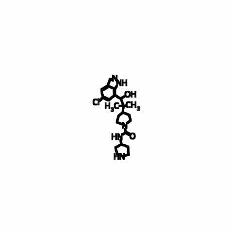 CC(C)(C1CCN(C(=O)NC2CCNCC2)CC1)C(O)c1cc(Cl)cc2cn[nH]c12